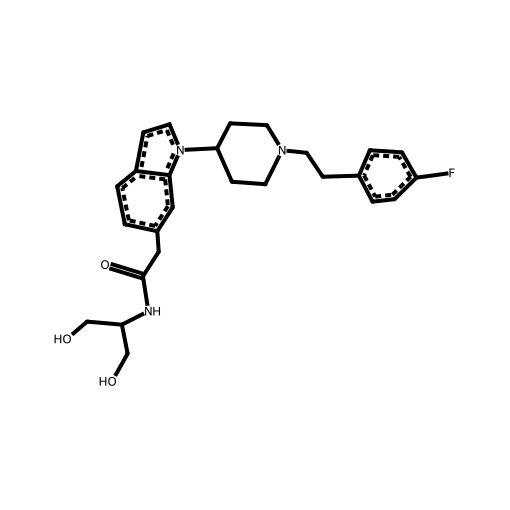 O=C(Cc1ccc2ccn(C3CCN(CCc4ccc(F)cc4)CC3)c2c1)NC(CO)CO